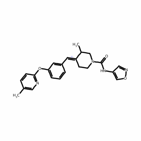 Cc1ccc(Oc2cccc(/C=C3\CCN(C(=O)Nc4cnoc4)CC3C)c2)nc1